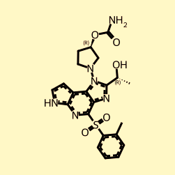 Cc1ccccc1S(=O)(=O)c1nc2[nH]ccc2c2c1nc([C@@H](C)O)n2N1CC[C@@H](OC(N)=O)C1